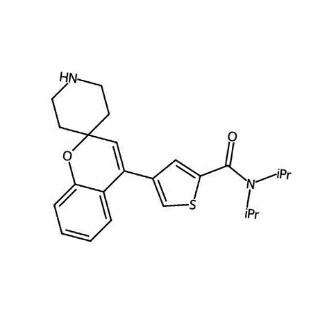 CC(C)N(C(=O)c1cc(C2=CC3(CCNCC3)Oc3ccccc32)cs1)C(C)C